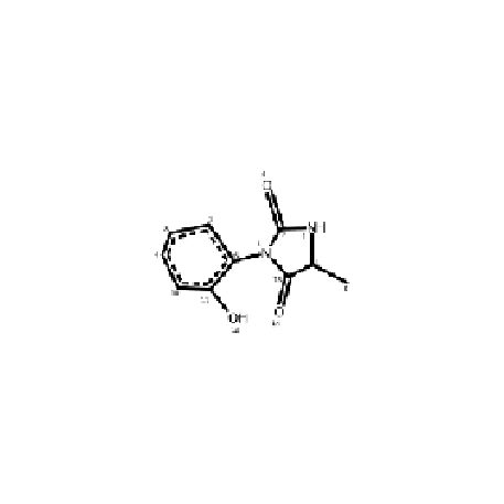 CC1NC(=O)N(c2ccccc2O)C1=O